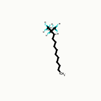 [CH2]CCCCCCCCCCC(F)(C(F)(F)F)C(F)(F)F